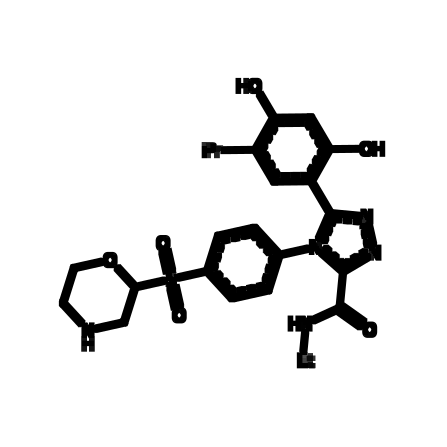 CCNC(=O)c1nnc(-c2cc(C(C)C)c(O)cc2O)n1-c1ccc(S(=O)(=O)C2CNCCO2)cc1